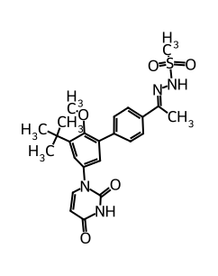 COc1c(-c2ccc(C(C)=NNS(C)(=O)=O)cc2)cc(-n2ccc(=O)[nH]c2=O)cc1C(C)(C)C